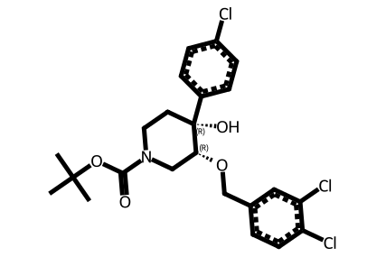 CC(C)(C)OC(=O)N1CC[C@@](O)(c2ccc(Cl)cc2)[C@H](OCc2ccc(Cl)c(Cl)c2)C1